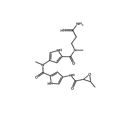 CC1OC1C(=O)Nc1c[nH]c(C(=O)N(C)c2c[nH]c(C(=O)N(C)CCC(=N)N)c2)c1